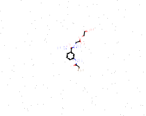 N.O=C(CS)Nc1cccc(C(=O)NCC(=O)OCCO)c1